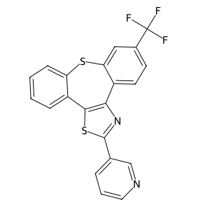 FC(F)(F)c1ccc2c(c1)Sc1ccccc1-c1sc(-c3cccnc3)nc1-2